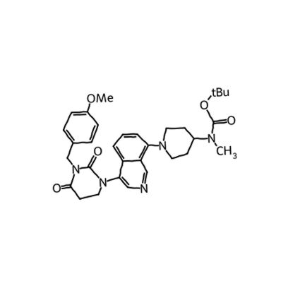 COc1ccc(CN2C(=O)CCN(c3cncc4c(N5CCC(N(C)C(=O)OC(C)(C)C)CC5)cccc34)C2=O)cc1